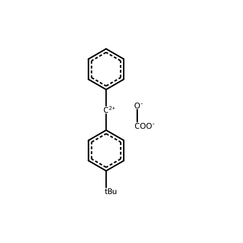 CC(C)(C)c1ccc([C+2]c2ccccc2)cc1.O=C([O-])[O-]